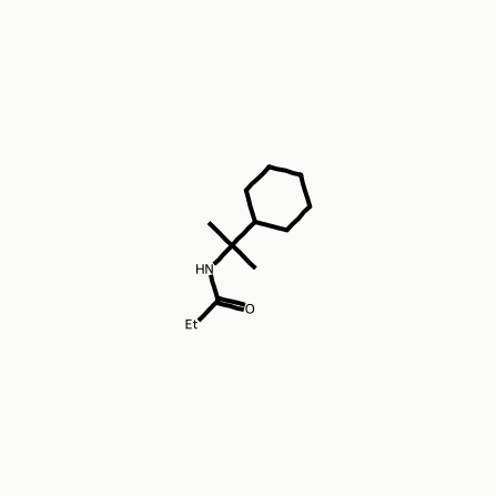 CCC(=O)NC(C)(C)C1CCCCC1